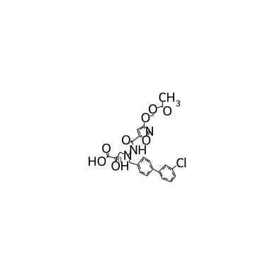 CC(=O)OCOc1cc(C(=O)NN(Cc2ccc(-c3cccc(Cl)c3)cc2)C[C@@H](O)C(=O)O)on1